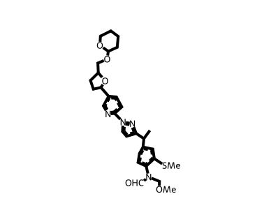 COCN(C=O)c1ccc(C(C)c2ccn(-c3ccc(C4CCC(COC5CCCCO5)O4)cn3)n2)cc1SC